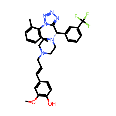 COc1cc(/C=C/CN2CCN([C@@H](c3cccc(C(F)(F)F)c3)c3nnnn3-c3c(C)cccc3C)CC2)ccc1O